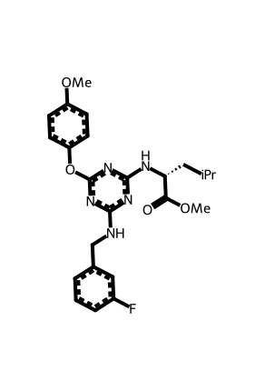 COC(=O)[C@@H](CC(C)C)Nc1nc(NCc2cccc(F)c2)nc(Oc2ccc(OC)cc2)n1